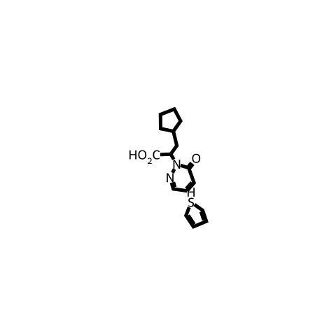 O=C(O)C(CC1CCCC1)n1ncc([SH]2C=CC=C2)cc1=O